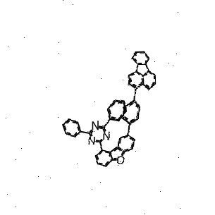 c1ccc(-c2nc(-c3ccccc3)nc(-c3cccc4oc5ccc(-c6ccc(-c7ccc8c9c(cccc79)-c7ccccc7-8)cc6)cc5c34)n2)cc1